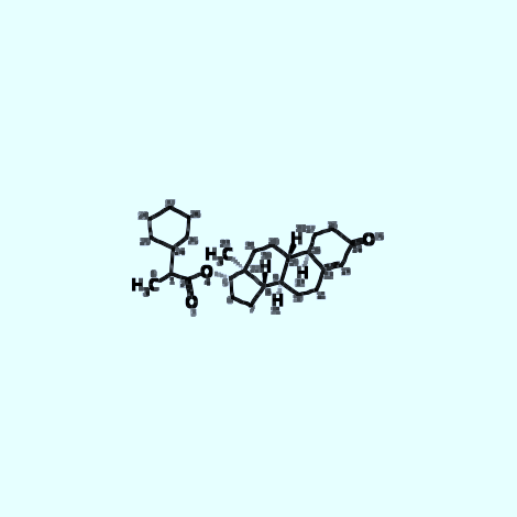 CC(C(=O)O[C@H]1CC[C@H]2[C@@H]3CCC4=CC(=O)CC[C@@H]4[C@H]3CC[C@]12C)C1CCCCC1